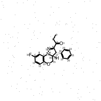 CCC(=O)C1=NN2c3cc(F)ccc3OC[C@H]2[C@H]1c1ccccc1